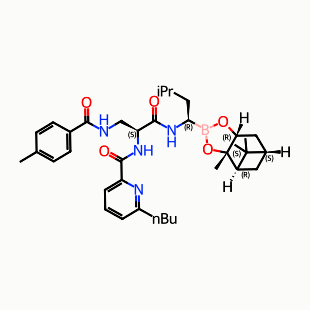 CCCCc1cccc(C(=O)N[C@@H](CNC(=O)c2ccc(C)cc2)C(=O)N[C@@H](CC(C)C)B2O[C@@H]3C[C@@H]4C[C@H](C4(C)C)[C@]3(C)O2)n1